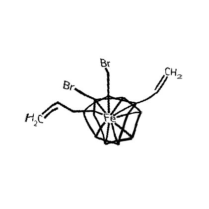 C=C[C]12[CH]3[CH]4[C]5(C=C)[C]1(Br)[Fe]34251678[CH]2[CH]1[CH]6[C]7(Br)[CH]28